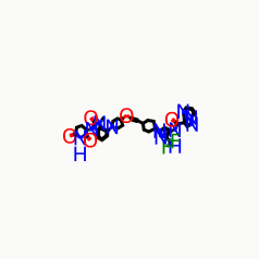 Cn1c(=O)n(C2CCC(=O)NC2=O)c2cccc(N3CCC(OC#CC4CCC(n5cc(NC(=O)c6cnn7cccnc67)c(C(F)F)n5)CC4)CC3)c21